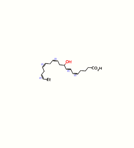 CC/C=C\C/C=C\C/C=C\CC(O)/C=C/C=C\CCCC(=O)O